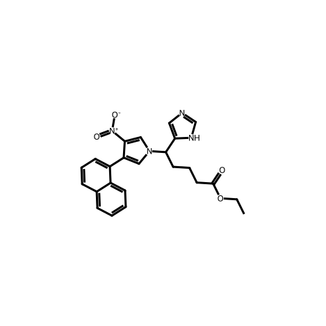 CCOC(=O)CCCC(c1cnc[nH]1)n1cc(-c2cccc3ccccc23)c([N+](=O)[O-])c1